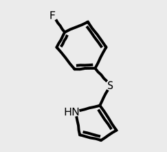 Fc1ccc(Sc2ccc[nH]2)cc1